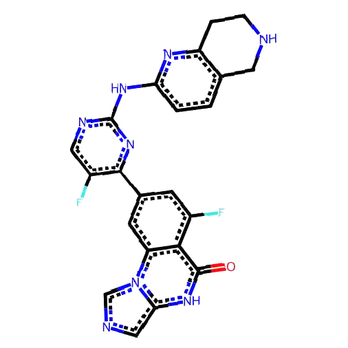 O=c1[nH]c2cncn2c2cc(-c3nc(Nc4ccc5c(n4)CCNC5)ncc3F)cc(F)c12